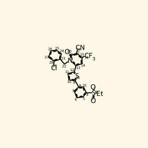 CCS(=O)(=O)c1cccc(-c2ccc(-c3cc(C(F)(F)F)c(C#N)c(=O)n3Cc3ccccc3Cl)s2)c1